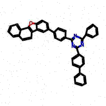 c1ccc(-c2ccc(-c3nc(-c4ccccc4)nc(-c4ccc(-c5ccc6oc7c8ccccc8ccc7c6c5)cc4)n3)cc2)cc1